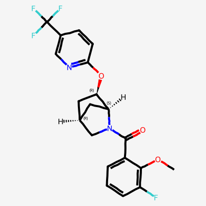 COc1c(F)cccc1C(=O)N1C[C@H]2C[C@@H](Oc3ccc(C(F)(F)F)cn3)[C@@H]1C2